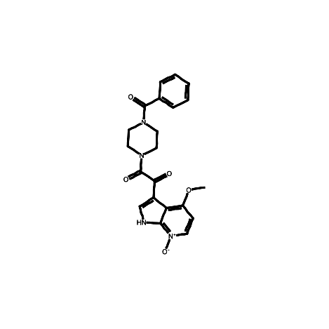 COc1cc[n+]([O-])c2[nH]cc(C(=O)C(=O)N3CCN(C(=O)c4ccccc4)CC3)c12